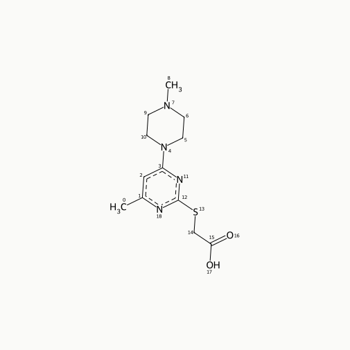 Cc1cc(N2CCN(C)CC2)nc(SCC(=O)O)n1